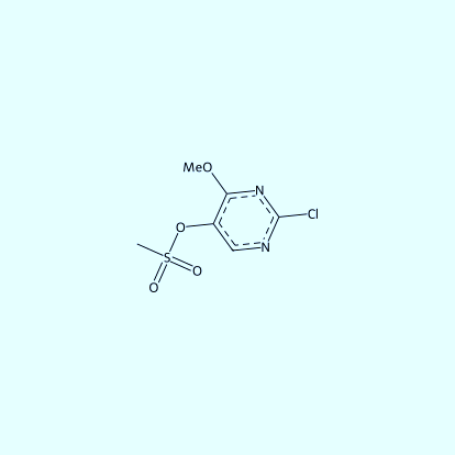 COc1nc(Cl)ncc1OS(C)(=O)=O